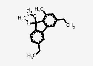 CCc1ccc2c(c1)-c1cc(CC)cc(C)c1C2(OC)OC